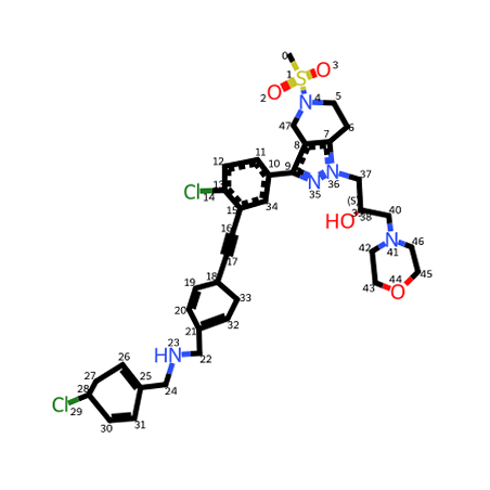 CS(=O)(=O)N1CCc2c(c(-c3ccc(Cl)c(C#CC4C=CC(CNCC5=CCC(Cl)C=C5)=CC4)c3)nn2C[C@@H](O)CN2CCOCC2)C1